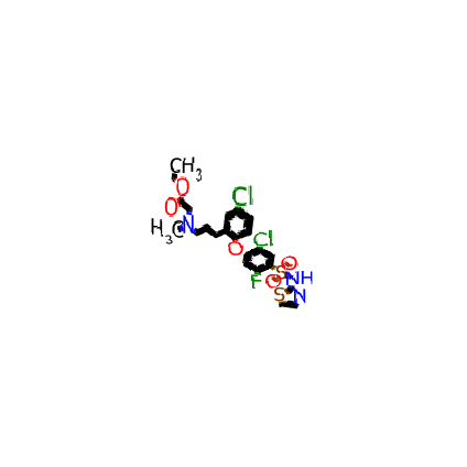 CCOC(=O)CN(C)CCCc1cc(Cl)ccc1Oc1cc(F)c(S(=O)(=O)Nc2nccs2)cc1Cl